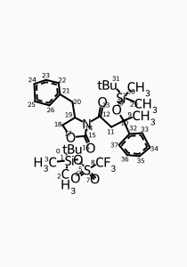 CC(C)(C)[Si](C)(C)OS(=O)(=O)C(F)(F)F.CC(CC(=O)N1C(=O)OCC1Cc1ccccc1)(O[Si](C)(C)C(C)(C)C)c1ccccc1